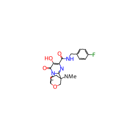 CNC12CCC(Cn3c1nc(C(=O)NCc1ccc(F)cc1)c(O)c3=O)OC2